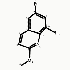 COc1ccc2cc(Br)cc(I)c2n1